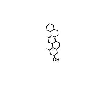 CC1CC(O)CC2CCC3=C4CCC5CCCCC5C4=CCC3C12